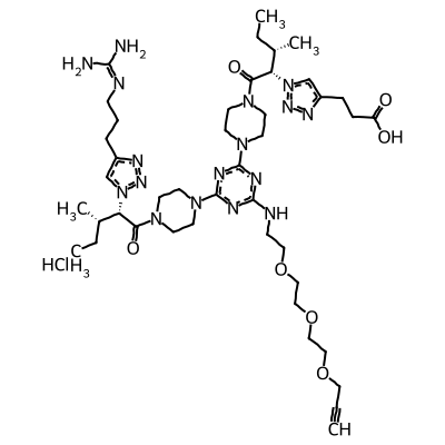 C#CCOCCOCCOCCNc1nc(N2CCN(C(=O)[C@H]([C@@H](C)CC)n3cc(CCCN=C(N)N)nn3)CC2)nc(N2CCN(C(=O)[C@H]([C@@H](C)CC)n3cc(CCC(=O)O)nn3)CC2)n1.Cl